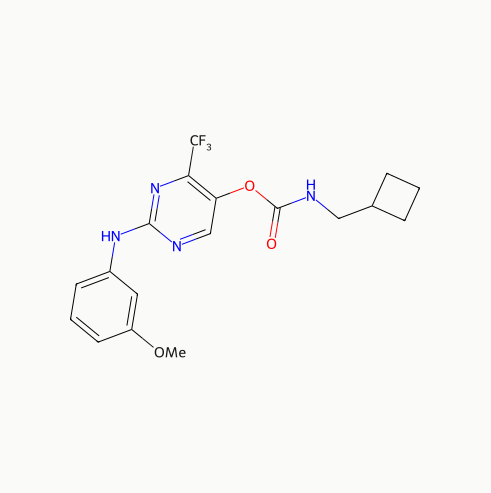 COc1cccc(Nc2ncc(OC(=O)NCC3CCC3)c(C(F)(F)F)n2)c1